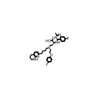 Cc1nc(N[C@@H](CCN(CCCCc2ccc3c(n2)NCCC3)CCOc2ccc(F)cc2)C(=O)O)c2ccc(F)cc2n1